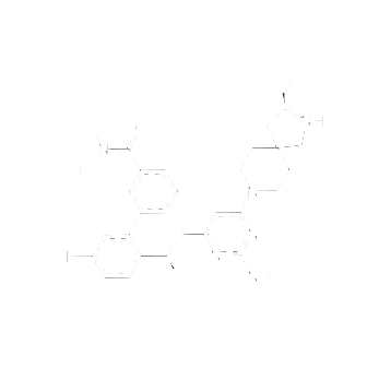 CCN(CC)C(=O)c1cccc(-c2cc(Cl)ccc2[C@@H](Oc2cc(N3CCC4(CC3)CN[C@H](C(=O)O)C4)nc(N)n2)C(F)(F)F)c1